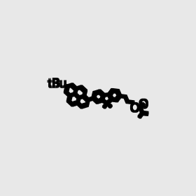 C=C(C)C(=O)OCCCc1ccc2c(c1)C(C)(C)c1cc(C3=C4C=CC5=CC(C(C)(C)C)=CC6=CC=C(C=C3)C4C65)ccc1-2